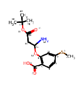 CSc1ccc(C(=O)O)c(OC(N)CC(=O)OC(C)(C)C)c1